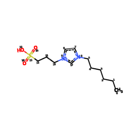 CCCCCCn1cc[n+](CCCS(=O)(=O)O)c1